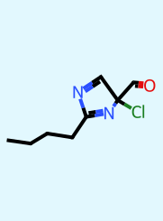 CCCCC1=NC(Cl)(C=O)C=N1